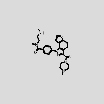 CNCCN(C)C(=O)c1ccc(-n2nc(C(=O)N3CCN(C)CC3)c3c2-c2ccsc2CC3)cc1